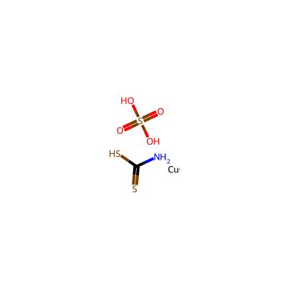 NC(=S)S.O=S(=O)(O)O.[Cu]